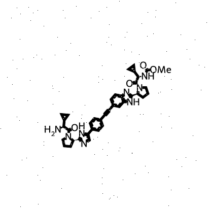 COC(=O)N[C@H](C(=O)N1CCC[C@H]1c1nc2ccc(C#Cc3ccc(-c4cnc([C@@H]5CCCN5C(=O)[C@@H](N)C5CC5)[nH]4)cc3)cc2[nH]1)C1CC1